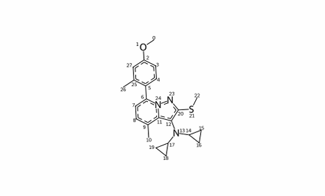 COc1ccc(-c2ccc(C)c3c(N(C4CC4)C4CC4)c(SC)nn23)c(C)c1